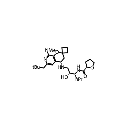 CCC[C@H](NC(=O)[C@H]1CCCO1)[C@H](O)CN[C@H]1CC2(CCC2)Oc2c1cc(CC(C)(C)C)nc2NC